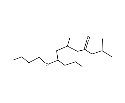 CCCCOC(CCC)CC(C)CC(=O)CC(C)C